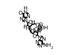 Nc1ncnc2c1ncn2[C@@H]1OC2CC[C@H]3[C@@H](F)[C@H](n4cnc5c(=O)[nH]cnc54)O[C@@H]3COP(=O)(O)O[C@@H]1[C@@H]2O